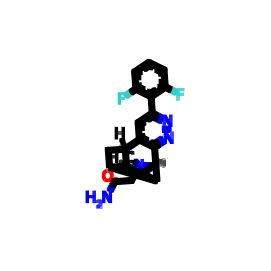 CN(CC(N)=O)[C@]12c3nnc(-c4c(F)cccc4F)cc3[C@H]3CC4C3C1C42